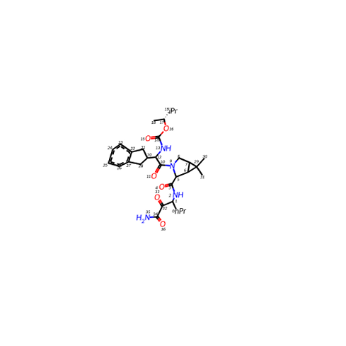 CCCC(NC(=O)C1C2C(CN1C(=O)C(NC(=O)O[C@H](C)C(C)C)C1Cc3ccccc3C1)C2(C)C)C(=O)C(N)=O